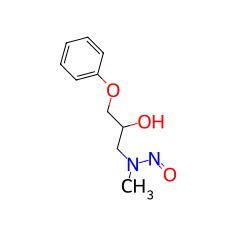 CN(CC(O)COc1ccccc1)N=O